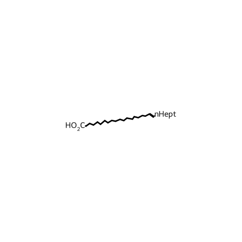 CCCCCCCC=CCCCCCCCCCCCCCCCCCC(=O)O